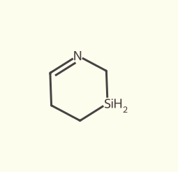 C1=NC[SiH2]CC1